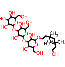 CC(C)(CCO)CC(C)(C)CCOC1OC(CO)C(O)C(OC2OC(CO)C(O)C(OC3OC(CO)C(O)C(O)C3O)C2O)C1O